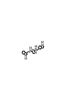 c1ccc2c(CCNc3ccnc(NCc4ccc5[nH]ccc5c4)n3)c[nH]c2c1